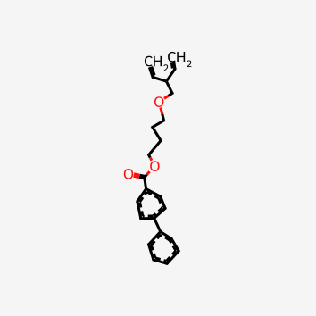 C=CC(C=C)COCCCCOC(=O)c1ccc(-c2ccccc2)cc1